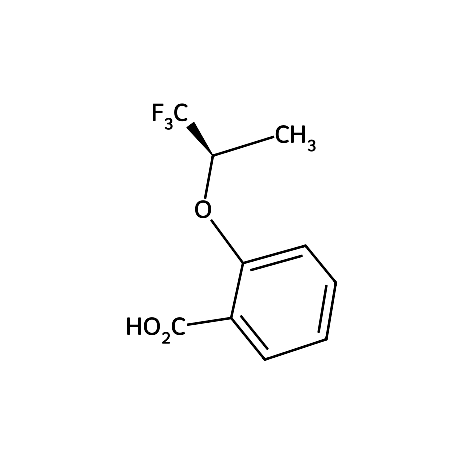 C[C@@H](Oc1ccccc1C(=O)O)C(F)(F)F